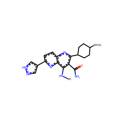 CC(=O)NC1CCC(c2nc3ccc(-c4cn[nH]c4)nc3c(NC(C)C)c2C(N)=O)CC1